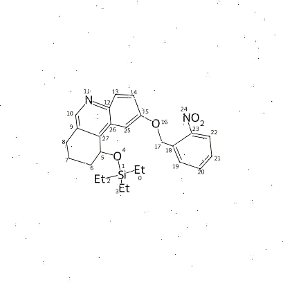 CC[Si](CC)(CC)OC1CCCc2cnc3ccc(OCc4ccccc4[N+](=O)[O-])cc3c21